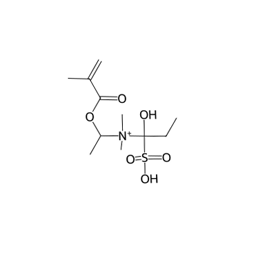 C=C(C)C(=O)OC(C)[N+](C)(C)C(O)(CC)S(=O)(=O)O